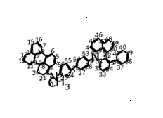 CN(C1=c2cccc3c2c(c2cccc4cccc3c42)CC1)c1ccc(-c2ccc(N(c3cccc(-c4ccccc4)c3)c3cccc4ccccc34)cc2)cc1